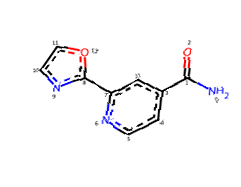 NC(=O)c1ccnc(-c2ncco2)c1